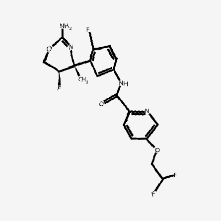 C[C@]1(c2cc(NC(=O)c3ccc(OCC(F)F)cn3)ccc2F)N=C(N)OC[C@@H]1F